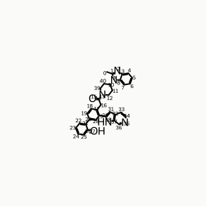 Cc1nc2ccccc2n1C1CCN(C(=O)Cc2ccc(-c3ccccc3O)cc2-c2cc3ccncc3[nH]2)CC1